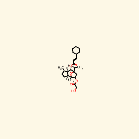 CC(C)C12C[C@@H](OC(=O)CO)[C@@](C)(O1)[C@@H]1CC[C@@H](C)[C@H]1[C@@H]2OC(=O)/C=C/C1CCCCC1